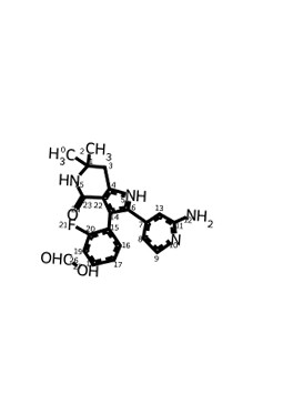 CC1(C)Cc2[nH]c(-c3ccnc(N)c3)c(-c3ccccc3F)c2C(=O)N1.O=CO